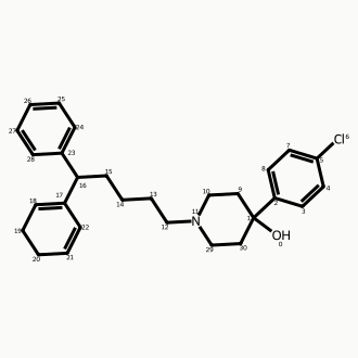 OC1(c2ccc(Cl)cc2)CCN(CCCCC(C2=CCCC=C2)c2ccccc2)CC1